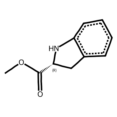 COC(=O)[C@H]1Cc2ccccc2N1